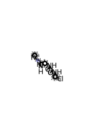 O=C(CC(=O)Nc1ccc2c(/C=C/c3ccccn3)n[nH]c2c1)Nc1cccc(Cl)c1